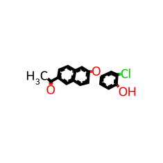 CC(=O)c1ccc2cc(Oc3ccc(O)c(Cl)c3)ccc2c1